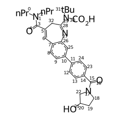 CCCN(CCC)C(=O)C1=Cc2ccc(-c3ccc(C(=O)N4CCC(O)C4)cc3)cc2N=C(N(C(=O)O)C(C)(C)C)C1